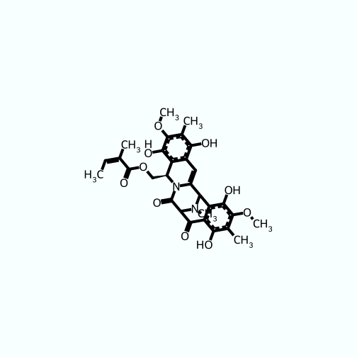 C/C=C(/C)C(=O)OC[C@H]1c2c(O)c(OC)c(C)c(O)c2C=C2C3c4c(O)c(OC)c(C)c(O)c4C(=O)C(C(=O)N21)N3C